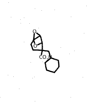 O=C(O)C1(CC2CCCCC2)CCC23OC2C1O3